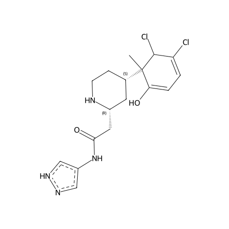 CC1([C@H]2CCN[C@@H](CC(=O)Nc3cn[nH]c3)C2)C(O)=CC=C(Cl)C1Cl